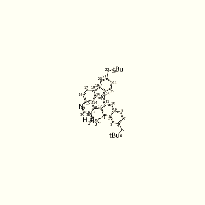 Cc1c2cc(CC(C)(C)C)ccc2cc2c1c1c3c(ccc4c5cc(CC(C)(C)C)ccc5n2c43)nc[n+]1C